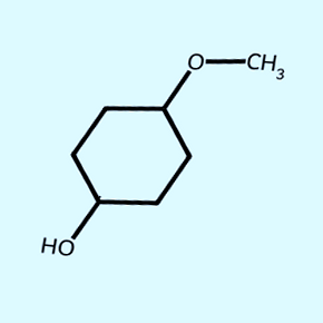 COC1CC[C](O)CC1